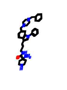 NC1(C(=O)NCCCc2cn(-c3ccccc3)c3cc(CN4CCN(Cc5ccccc5)CC4)ccc23)CCNCC1